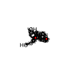 CC[C@]1(O)C[C@H]2CN(CCc3c([nH]c4ccc(SCCCO)cc34)[C@@](C(=O)OC)(c3cc4c(cc3OC)N(C)[C@H]3[C@@](O)(C(=O)OC)[C@H](OC(C)=O)[C@]5(CC)C=CCN6CC[C@]43[C@@H]65)C2)C1